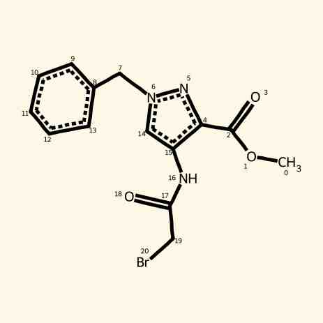 COC(=O)c1nn(Cc2ccccc2)cc1NC(=O)CBr